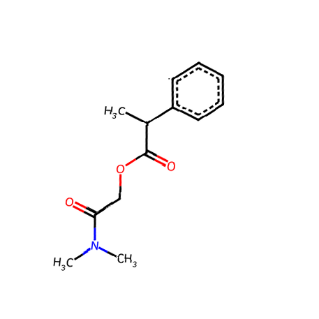 CC(C(=O)OCC(=O)N(C)C)c1[c]cccc1